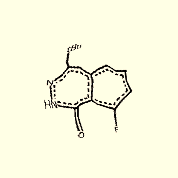 CC(C)(C)c1n[nH]c(=O)c2c(F)cccc12